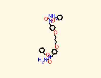 NC(=O)N(Cc1ccc(OCCCCCOc2ccc(CN(OCc3ccccc3)C(N)=O)cc2)cc1)OCc1ccccc1